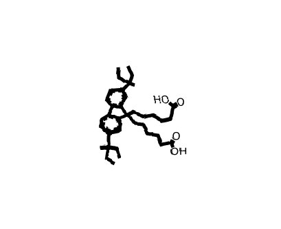 CCC(C)(CC)c1ccc2c(c1)C(CCCCCC(=O)O)(CCCCCC(=O)O)c1cc(C(C)(CC)CC)ccc1-2